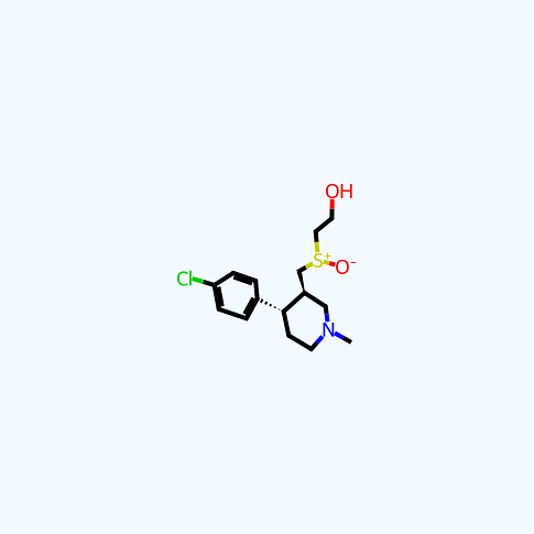 CN1CC[C@H](c2ccc(Cl)cc2)[C@@H](C[S+]([O-])CCO)C1